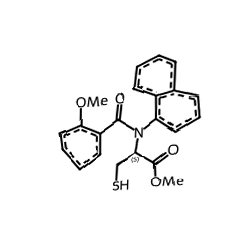 COC(=O)[C@@H](CS)N(C(=O)c1ccccc1OC)c1cccc2ccccc12